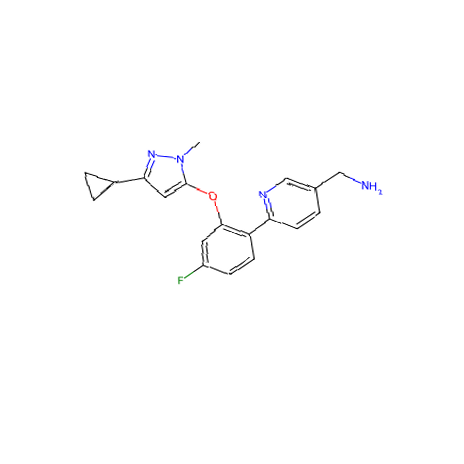 Cn1nc(C2CC2)cc1Oc1cc(F)ccc1-c1ccc(CN)cn1